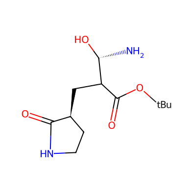 CC(C)(C)OC(=O)C(C[C@H]1CCNC1=O)[C@@H](N)O